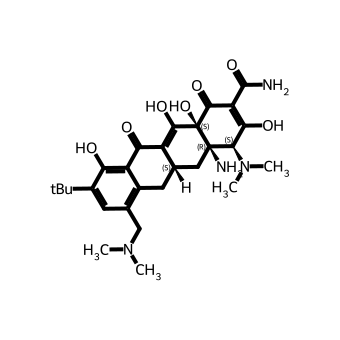 CN(C)Cc1cc(C(C)(C)C)c(O)c2c1C[C@H]1C[C@@]3(N)[C@H](N(C)C)C(O)=C(C(N)=O)C(=O)[C@@]3(O)C(O)=C1C2=O